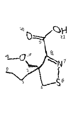 CCC1(OC)CSN=C1C(=O)O